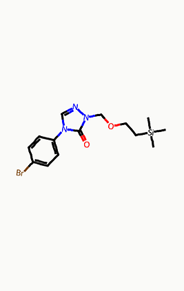 C[Si](C)(C)CCOCn1ncn(-c2ccc(Br)cc2)c1=O